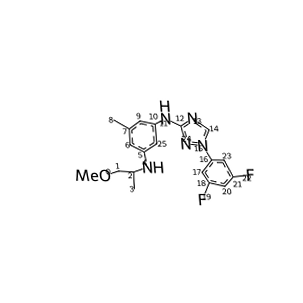 COCC(C)Nc1cc(C)cc(Nc2ncn(-c3cc(F)cc(F)c3)n2)c1